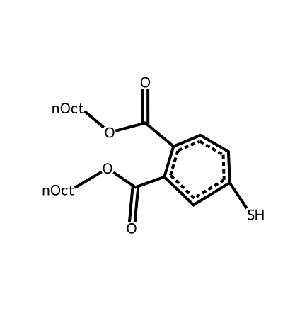 CCCCCCCCOC(=O)c1ccc(S)cc1C(=O)OCCCCCCCC